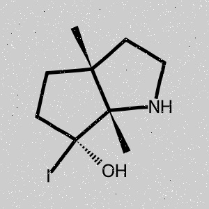 C[C@@]12CCN[C@]1(C)[C@@](O)(I)CC2